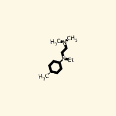 CCN(CCN(C)C)[C@H]1CC[C@H](C)CC1